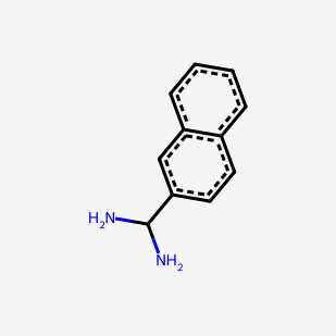 NC(N)c1ccc2ccccc2c1